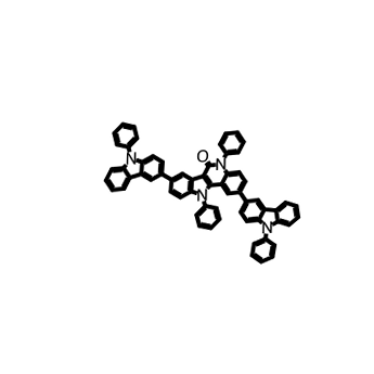 O=c1c2c3cc(-c4ccc5c(c4)c4ccccc4n5-c4ccccc4)ccc3n(-c3ccccc3)c2c2cc(-c3ccc4c(c3)c3ccccc3n4-c3ccccc3)ccc2n1-c1ccccc1